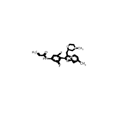 C=CC(=O)Nc1cc(F)c(-c2nc3cc(C)ccn3c2CC2CN(C)CCO2)c(F)c1